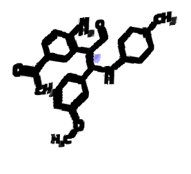 COc1cccc(/C(NC2CCN(C)CC2)=C(/C=O)c2cc(C(C)=O)ccc2N)c1